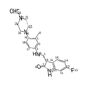 Cc1cc(NC=C2C(=O)Nc3cc(F)ccc32)ccc1N1CCN(C=O)CC1